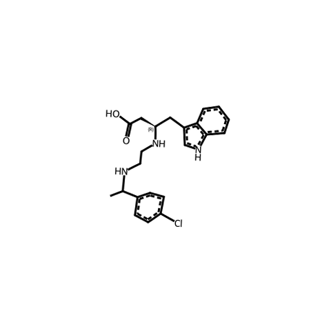 CC(NCCN[C@@H](CC(=O)O)Cc1c[nH]c2ccccc12)c1ccc(Cl)cc1